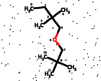 CCC(C)(C)COCC(C)(C)C